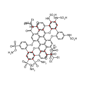 CCC(CC)N1C(=O)c2cc(Oc3ccc(NS(=O)(=O)O)cc3-c3ccc(NS(=O)(=O)O)cc3)c3c4c(Oc5ccc(NS(=O)(=O)O)cc5-c5ccc(NS(=O)(=O)O)cc5)cc5c6c(cc(Oc7ccc(S(=O)(=O)ON)cc7-c7ccc(S(=O)(=O)ON)cc7)c(c7c(Oc8ccc(S(=O)(=O)ON)cc8-c8ccc(S(=O)(=O)ON)cc8)cc(c2c37)C1=O)c64)C(=O)N(C(CC)CC)C5=O